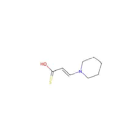 OC(=S)C=CN1CCCCC1